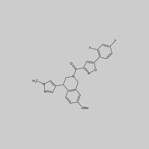 COc1ccc2c(c1)CN(C(=O)c1cc(-c3ccc(F)cc3F)on1)CC2c1cnn(C)c1